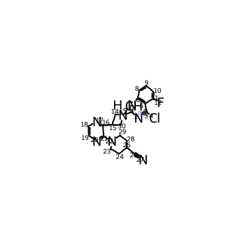 C=C(/N=C(/Cl)c1c(N)cccc1F)N1CC(c2nccnc2N2CCC(C#N)CC2)C1